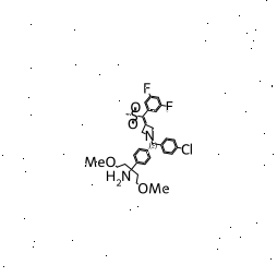 COCCC(N)(CCOC)c1ccc([C@@H](c2ccc(Cl)cc2)N2CC(=C(c3cc(F)cc(F)c3)S(C)(=O)=O)C2)cc1